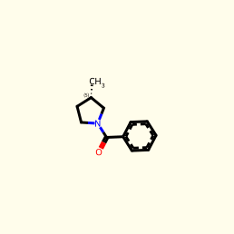 C[C@H]1CCN(C(=O)c2ccccc2)C1